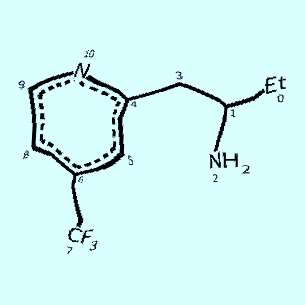 CCC(N)Cc1cc(C(F)(F)F)ccn1